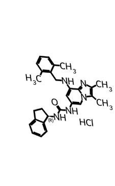 Cc1cccc(C)c1CNc1cc(NC(=O)N[C@@H]2CCc3ccccc32)cn2c(C)c(C)nc12.Cl